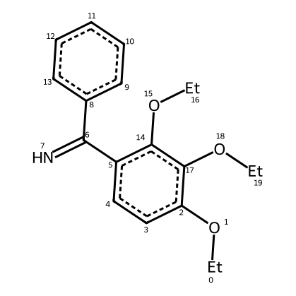 CCOc1ccc(C(=N)c2ccccc2)c(OCC)c1OCC